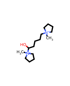 C[N+]1(CCCCC(O)[N+]2(C)CCCC2)CCCC1